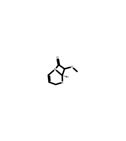 COC1C(=O)N2C=CCS[C@H]12